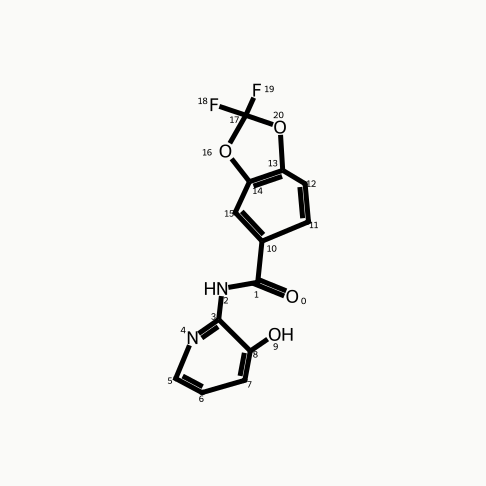 O=C(Nc1ncccc1O)c1ccc2c(c1)OC(F)(F)O2